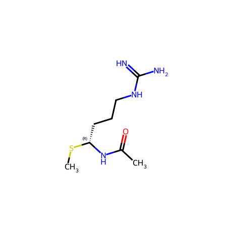 CS[C@H](CCCNC(=N)N)NC(C)=O